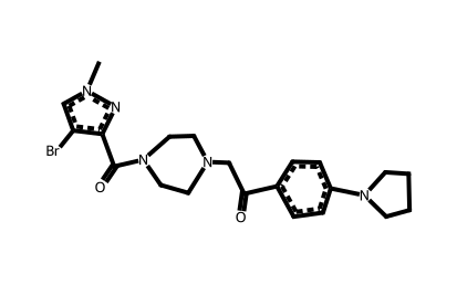 Cn1cc(Br)c(C(=O)N2CCN(CC(=O)c3ccc(N4CCCC4)cc3)CC2)n1